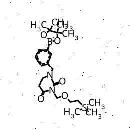 CC1(C)OB(c2cccc(CN3CCC(=O)N(COCC[Si](C)(C)C)C3=O)c2)OC1(C)C